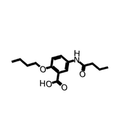 CCCCOc1ccc(NC(=O)CCC)cc1C(=O)O